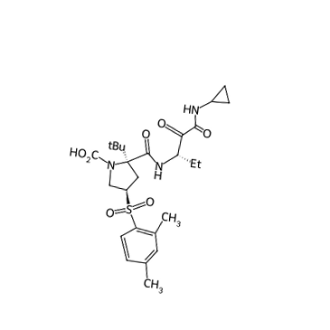 CC[C@H](NC(=O)[C@@]1(C(C)(C)C)C[C@@H](S(=O)(=O)c2ccc(C)cc2C)CN1C(=O)O)C(=O)C(=O)NC1CC1